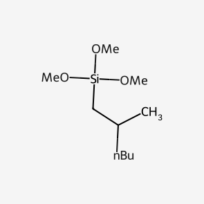 CCCCC(C)C[Si](OC)(OC)OC